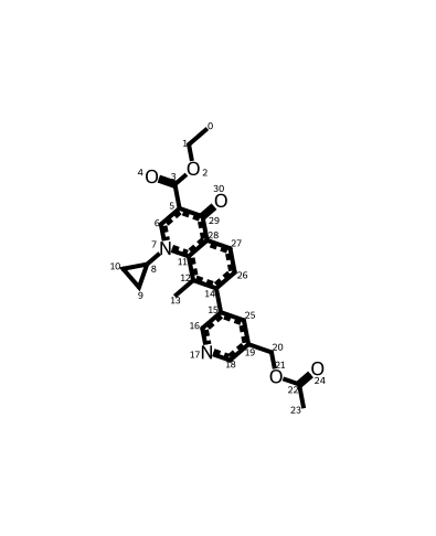 CCOC(=O)c1cn(C2CC2)c2c(C)c(-c3cncc(COC(C)=O)c3)ccc2c1=O